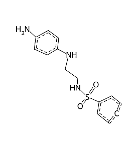 Nc1ccc(NCCNS(=O)(=O)c2ccccc2)cc1